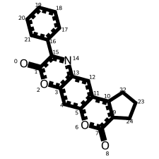 O=c1oc2cc3oc(=O)c4c(c3cc2nc1-c1ccccc1)CCC4